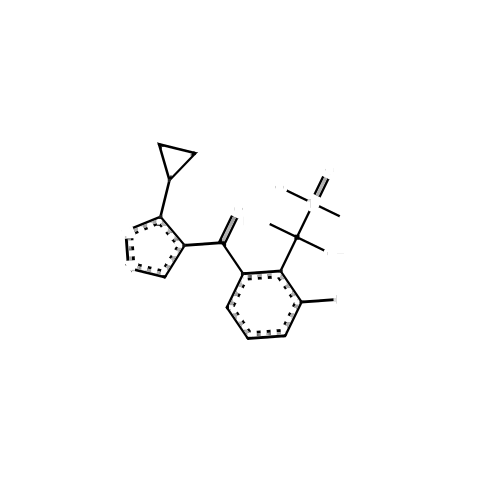 CC(C)(c1c(F)cccc1C(=O)c1cnoc1C1CC1)P(=O)(O)O